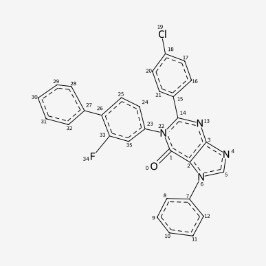 O=c1c2c(ncn2-c2ccccc2)nc(-c2ccc(Cl)cc2)n1-c1ccc(-c2ccccc2)c(F)c1